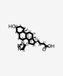 C[C@]12CC[C@@H](O)CC1C[C@H](n1ccnn1)C1C2CC[C@@]2(C)C1CC[C@@H]2CCCC(=O)O